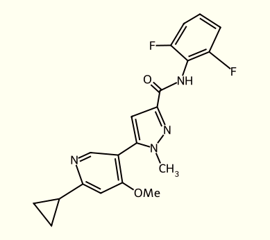 COc1cc(C2CC2)ncc1-c1cc(C(=O)Nc2c(F)cccc2F)nn1C